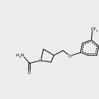 NC(=O)N1CC(COc2cccc(C(F)(F)F)c2)C1